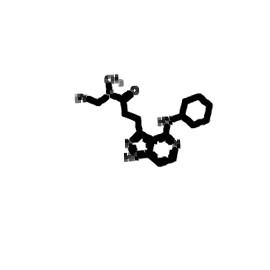 CC(C)CN(C)C(=O)CCc1n[nH]c2ccnc(NC3CCCCC3)c12